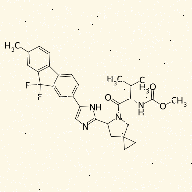 COC(=O)N[C@H](C(=O)N1CC2(CC2)CC1c1ncc(-c2ccc3c(c2)C(F)(F)c2cc(C)ccc2-3)[nH]1)C(C)C